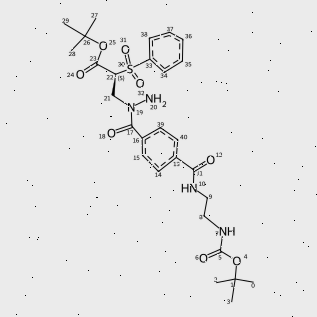 CC(C)(C)OC(=O)NCCNC(=O)c1ccc(C(=O)N(N)C[C@@H](C(=O)OC(C)(C)C)S(=O)(=O)c2ccccc2)cc1